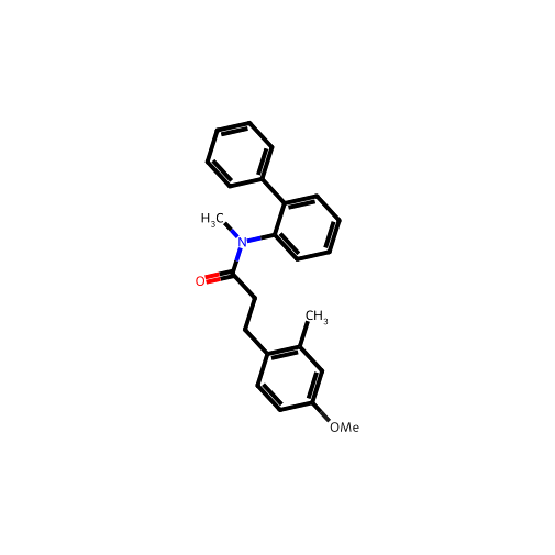 COc1ccc(CCC(=O)N(C)c2ccccc2-c2ccccc2)c(C)c1